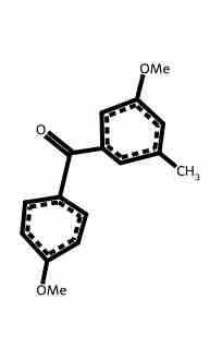 COc1ccc(C(=O)c2cc(C)cc(OC)c2)cc1